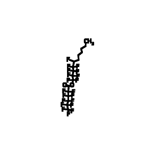 CCCCCCC(F)C(F)(F)C(F)(F)C(F)(F)C(F)(F)OC(=O)C(F)(F)C(F)(F)C(F)(F)C(F)(F)C(F)(F)F